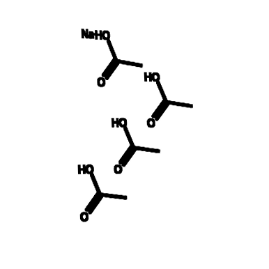 CC(=O)O.CC(=O)O.CC(=O)O.CC(=O)O.[Na]